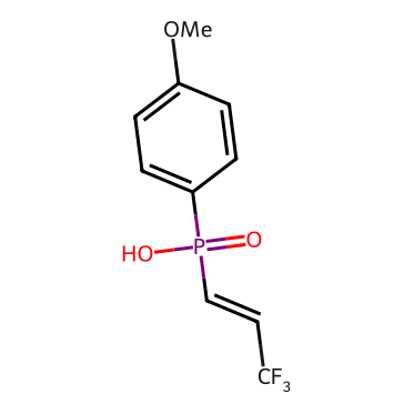 COc1ccc(P(=O)(O)C=CC(F)(F)F)cc1